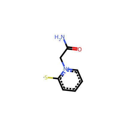 NC(=O)C[n+]1ccccc1[S]